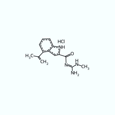 C=C(C)c1cccc2[nH]c(C(=O)N=C(N)NC)cc12.Cl